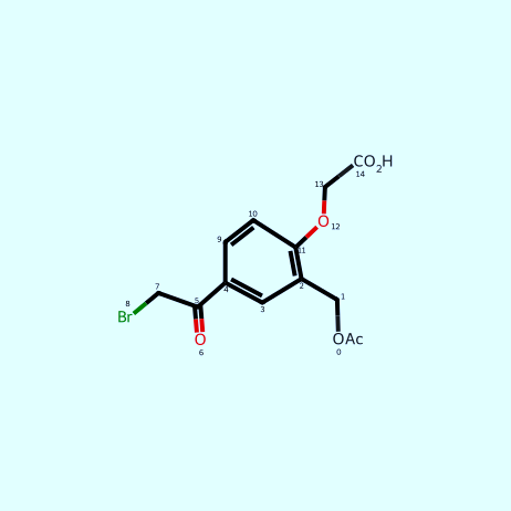 CC(=O)OCc1cc(C(=O)CBr)ccc1OCC(=O)O